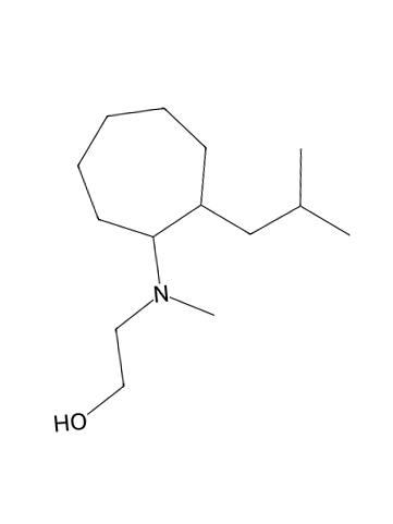 CC(C)CC1CCCCCC1N(C)CCO